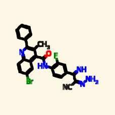 Cc1c(-c2ccccc2)nc2ccc(Br)cc2c1C(=O)Nc1ccc(C(=N)/C(C#N)=N\N)cc1F